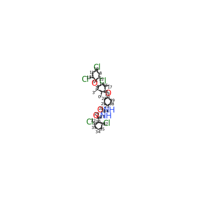 Cc1c(C)c(Oc2ccc(Cl)cc2Cl)c(Cl)c(C)c1Oc1ccc(NC(=O)NC(=O)c2c(Cl)cccc2Cl)cc1